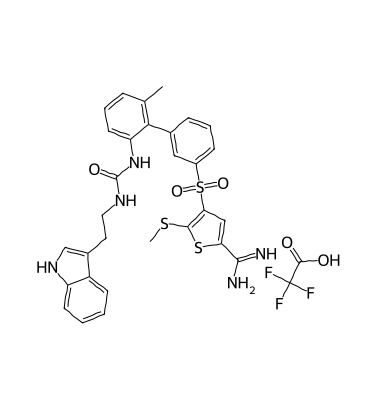 CSc1sc(C(=N)N)cc1S(=O)(=O)c1cccc(-c2c(C)cccc2NC(=O)NCCc2c[nH]c3ccccc23)c1.O=C(O)C(F)(F)F